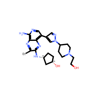 CCc1nc2c(N)ncc(-c3cnn(C4CCN(CCO)CC4)c3)c2nc1N[C@@H]1CC[C@H](O)C1